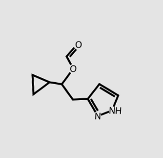 O=COC(Cc1cc[nH]n1)C1CC1